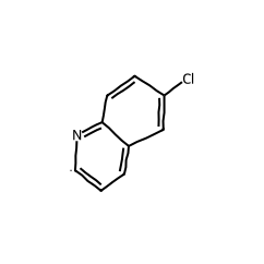 Clc1ccc2n[c]ccc2c1